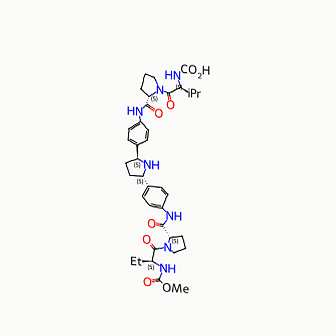 CC[C@H](NC(=O)OC)C(=O)N1CCC[C@H]1C(=O)Nc1ccc([C@@H]2CC[C@@H](c3ccc(NC(=O)[C@@H]4CCCN4C(=O)[C@@H](NC(=O)O)C(C)C)cc3)N2)cc1